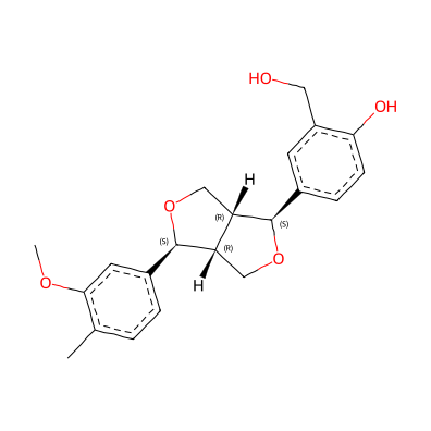 COc1cc([C@H]2OC[C@H]3[C@@H]2CO[C@@H]3c2ccc(O)c(CO)c2)ccc1C